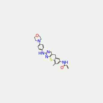 C=CC(=O)Nc1cc(C)c2c(c1)Cc1cnc(Nc3ccc(N4CCOCC4)cc3)nc1S2